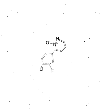 [O-][n+]1ncccc1-c1ccc(Cl)c(F)c1